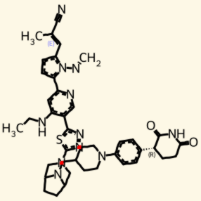 C=Nn1c(/C=C(\C)C#N)ccc1-c1cc(NCC)c(-c2nnc(N3CC4CCC(C3)N4CC3CCN(c4ccc([C@H]5CCC(=O)NC5=O)cc4)CC3)s2)cn1